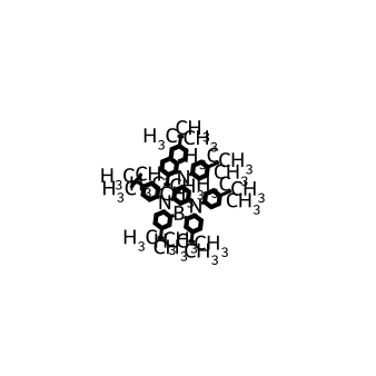 CC(C)(C)c1ccc(N2c3ccc(C(C)(C)C)cc3B3c4cc(C(C)(C)C)ccc4N(c4ccc(C(C)(C)C)cc4)c4cc(N(c5ccc(C(C)(C)C)cc5)c5c(C(C)(C)C)ccc6cc(C(C)(C)C)ccc56)cc2c43)cc1